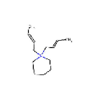 CC=CC[N+]1(CC=CC)CCCCC1